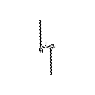 CCCCCCCCCCCCCCC=CC[N+]1(CCNCC[N+]2(CC=CCCCCCCCCCCCCCC)C=NCC2)C=NCC1